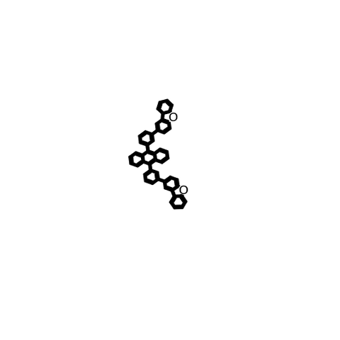 C1=CC2Oc3ccc(-c4cccc(-c5c6ccccc6c(-c6cccc(-c7ccc8oc9ccccc9c8c7)c6)c6ccccc56)c4)cc3C2C=C1